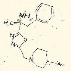 CC(=O)C1CCN(Cc2nnc([C@](C)(N)Cc3ccccc3)o2)CC1